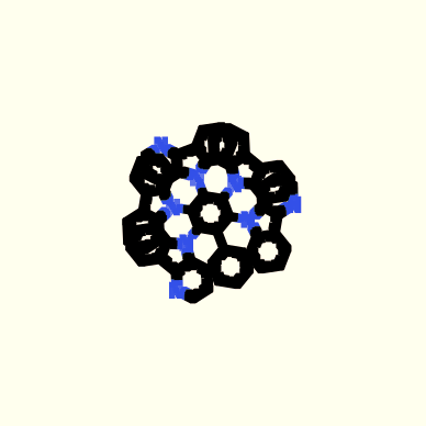 c1ccc(-c2c(-n3c4ccccc4c4ncccc43)c(-n3c4ccccc4c4ccccc43)c(-n3c4ccccc4c4ncccc43)c(-n3c4ccccc4c4ccccc43)c2-n2c3ccccc3c3ncccc32)cc1